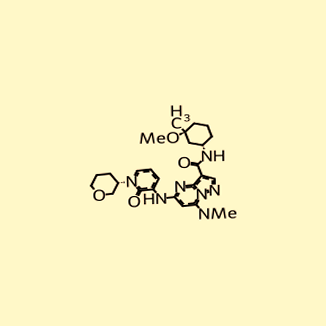 CNc1cc(Nc2cccn([C@H]3CCCOC3)c2=O)nc2c(C(=O)N[C@H]3CCC[C@](C)(OC)C3)cnn12